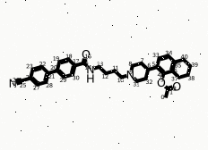 CC(=O)Oc1c(C2CCN(CCCCNC(=O)c3ccc(-c4ccc(C#N)cc4)cc3)CC2)ccc2c1CCCC2